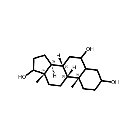 C[C@]12CCC(O)CC1C(O)C[C@@H]1[C@H]2CC[C@]2(C)C(O)CC[C@@H]12